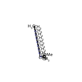 COC1=CC(=O)C(C)=C(C/C=C(\C)CC/C=C(\C)CC/C=C(\C)CC/C=C(\C)CC/C=C(\C)CC/C=C(\C)CC/C=C(\C)CC/C=C(\C)CCC=C(C)C)C1=O